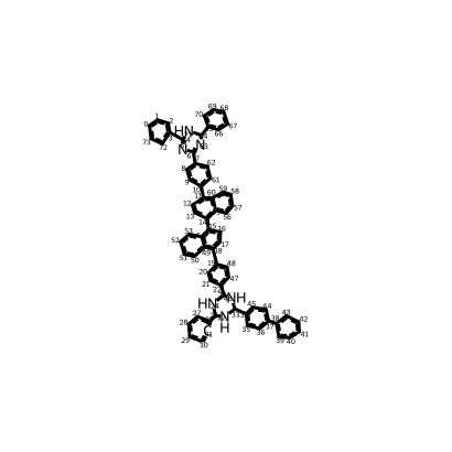 c1ccc(C2=NC(c3ccc(-c4ccc(-c5ccc(-c6ccc(C7NC(c8ccccc8)NC(c8ccc(-c9ccccc9)cc8)N7)cc6)c6ccccc56)c5ccccc45)cc3)=NC(c3ccccc3)N2)cc1